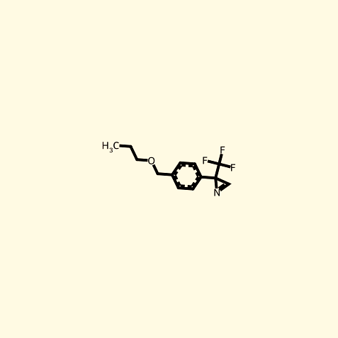 CCCOCc1ccc(C2(C(F)(F)F)C=N2)cc1